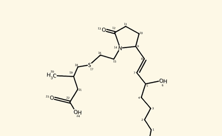 CCCCCC(O)C=CC1CCC(=O)N1CCSCC(C)CC(=O)O